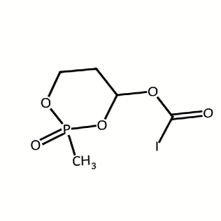 CP1(=O)OCCC(OC(=O)I)O1